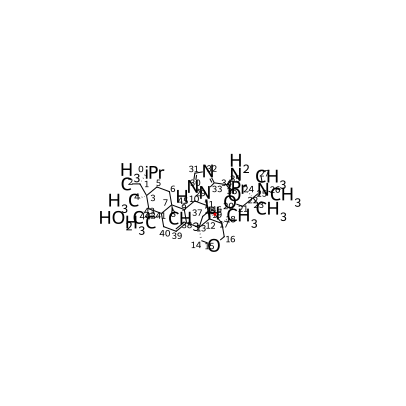 CC(C)[C@@H](C)[C@@]1(C)CC[C@]2(C)[C@H]3CC[C@@H]4[C@@]5(COC[C@]4(C)[C@@H](OC[C@@](C)(C(C)C)N(C)C)[C@H](n4ncnc4C(N)=O)C5)C3=CC[C@@]2(C)[C@@H]1C(=O)O